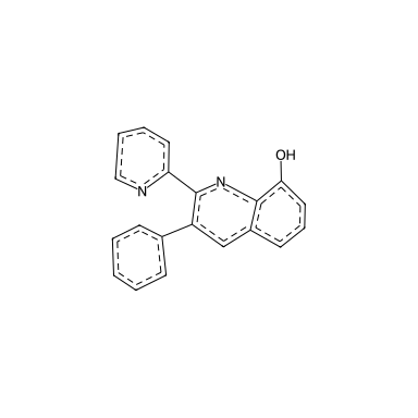 Oc1cccc2cc(-c3ccccc3)c(-c3ccccn3)nc12